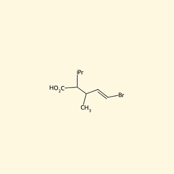 CC(C)C(C(=O)O)C(C)C=CBr